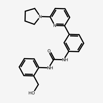 O=C(Nc1cccc(-c2cccc(N3CCCC3)n2)c1)Nc1ccccc1CO